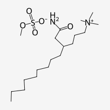 CCCCCCCCCC(CCC[N+](C)(C)C)CC(N)=O.COS(=O)(=O)[O-]